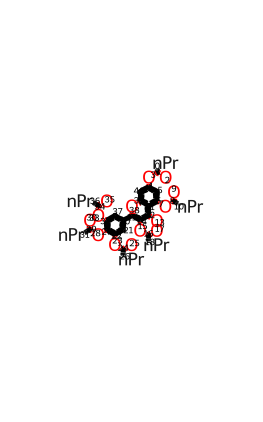 CCCC(=O)Oc1cc(OC(=O)CCC)c2c(=O)c(OC(=O)CCC)c(-c3cc(OC(=O)CCC)c(OC(=O)CCC)c(OC(=O)CCC)c3)oc2c1